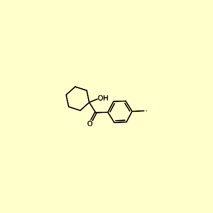 [CH2]c1ccc(C(=O)C2(O)CCCCC2)cc1